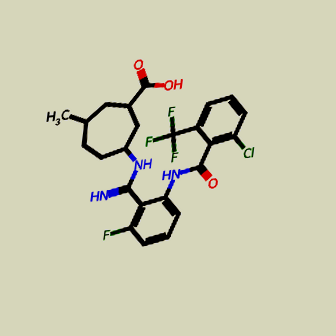 CC1CCC(NC(=N)c2c(F)cccc2NC(=O)c2c(Cl)cccc2C(F)(F)F)CC(C(=O)O)C1